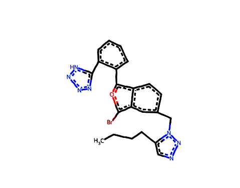 CCCCc1cnnn1Cc1ccc2c(-c3ccccc3-c3nnn[nH]3)oc(Br)c2c1